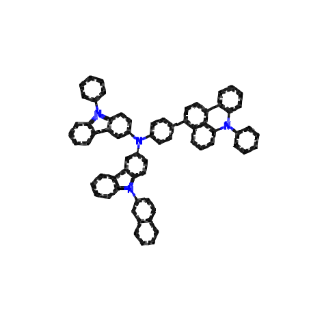 c1ccc(N2c3ccccc3-c3ccc(-c4ccc(N(c5ccc6c(c5)c5ccccc5n6-c5ccccc5)c5ccc6c(c5)c5ccccc5n6-c5ccc6ccccc6c5)cc4)c4cccc2c34)cc1